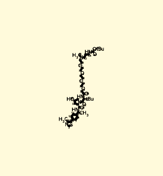 Cc1ncsc1-c1ccc([C@H](C)NC(=O)[C@@H]2C[C@@H](O)CN2C(=O)[C@@H](NC(=O)COCCOCCOCCOCCN(C)CCCNC(=O)OC(C)(C)C)C(C)(C)C)cc1